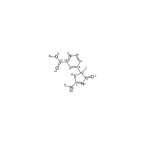 CNC1=NC(=O)C(C)(c2ccnc(C(=O)OC)c2)S1